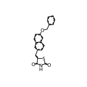 O=C1NC(=O)/C(=C/c2ccc3cc(OCc4ccccc4)ccc3c2)S1